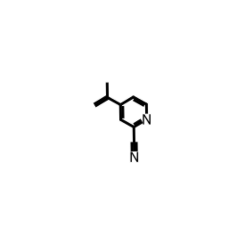 C=C(C)c1ccnc(C#N)c1